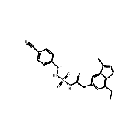 CCc1cc(CC(=O)NS(=O)(=O)NNc2ccc(C#N)cc2)cc2c(C)coc12